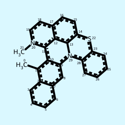 Cc1c2ccccc2cc2c1c1c3c4c(ccc3cc[n+]1C)sc1ccccc1n2-4